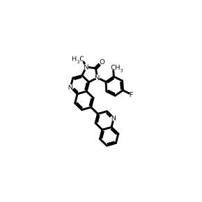 Cc1cc(F)ccc1-n1c(=O)n(C)c2cnc3ccc(-c4cnc5ccccc5c4)cc3c21